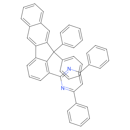 c1ccc(-c2cc(-c3ccccc3)nc(-c3cccc4c3C(c3ccccc3)(c3ccccc3)c3cc5ccccc5cc3-4)n2)cc1